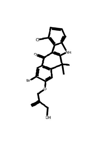 C=C(CO)COc1cc2c(cc1Br)C(=O)c1c([nH]c3cccc(Cl)c13)C2(C)C